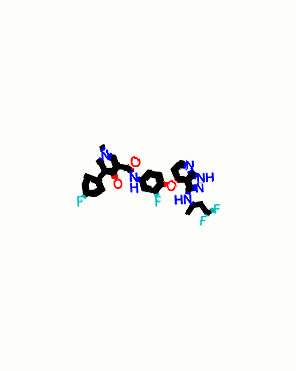 CC(CC(F)F)Nc1n[nH]c2nccc(Oc3ccc(NC(=O)c4cn(C)cc(-c5ccc(F)cc5)c4=O)cc3F)c12